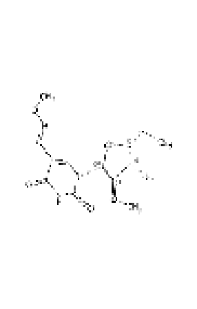 CON=Cc1cn([C@@H]2O[C@H](CO)[C@H](O)[C@H]2OC)c(=O)[nH]c1=O